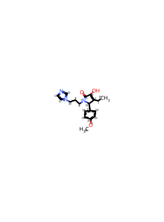 CCC1=C(O)C(=O)N(CCCn2ccnc2)C1c1ccc(OC)cc1